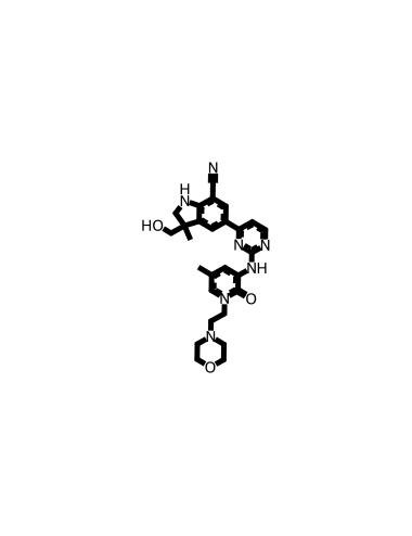 Cc1cc(Nc2nccc(-c3cc(C#N)c4c(c3)C(C)(CO)CN4)n2)c(=O)n(CCN2CCOCC2)c1